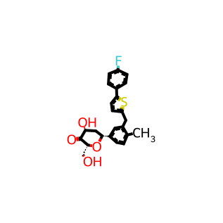 Cc1ccc([C@H]2C[C@@H](O)C(=O)[C@@H](CO)O2)cc1Cc1ccc(-c2ccc(F)cc2)s1